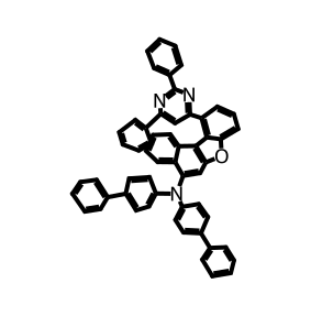 c1ccc(-c2ccc(N(c3ccc(-c4ccccc4)cc3)c3cc4oc5cccc(-c6cc(-c7ccccc7)nc(-c7ccccc7)n6)c5c4c4ccccc34)cc2)cc1